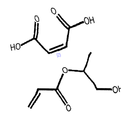 C=CC(=O)OC(C)CO.O=C(O)/C=C\C(=O)O